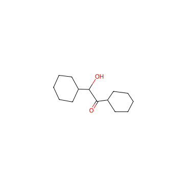 O=C(C1CCCCC1)C(O)C1CCCCC1